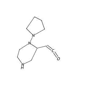 O=C=CC1CNCCN1N1CCCC1